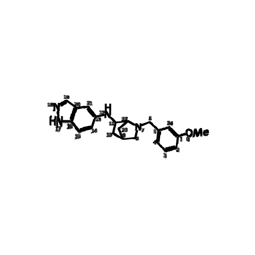 COc1cccc(CN2CC3CC(Nc4ccc5[nH]ncc5c4)C2C3)c1